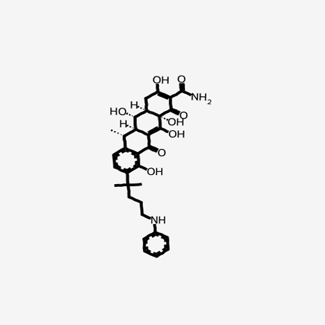 C[C@H]1c2ccc(C(C)(C)CCCNc3ccccc3)c(O)c2C(=O)C2=C(O)[C@]3(O)C(=O)C(C(N)=O)=C(O)C[C@@H]3[C@@H](O)[C@@H]21